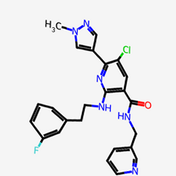 Cn1cc(-c2nc(NCCc3cccc(F)c3)c(C(=O)NCc3cccnc3)cc2Cl)cn1